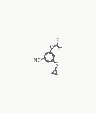 N#Cc1cc(OC(F)F)cc(SC2CC2)c1